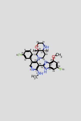 CNc1ncc(-c2cccc(F)c2)c(N2CC[C@@H]3NCCO[C@H]3C2)c1-c1nc2c(OC)cc(F)cc2[nH]1